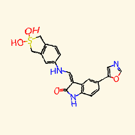 O=C1Nc2ccc(-c3cnco3)cc2C1=CNc1ccc2c(c1)CS(O)(O)C2